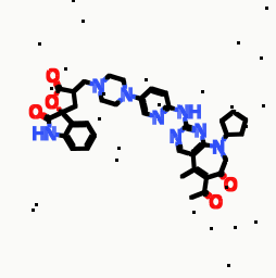 CC(=O)C1=C(C)c2cnc(Nc3ccc(N4CCN(CC5CC6(OC5=O)C(=O)Nc5ccccc56)CC4)cn3)nc2N(C2CCCC2)CC1=O